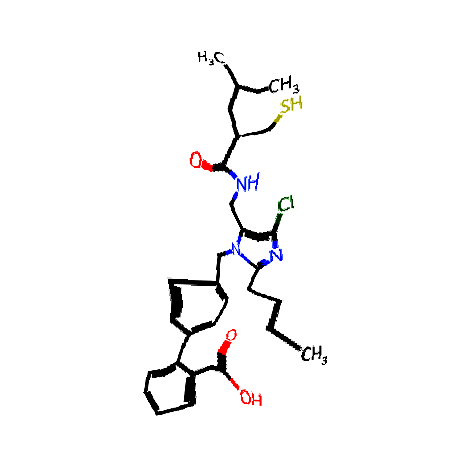 CCCCc1nc(Cl)c(CNC(=O)[C@H](CS)CC(C)C)n1Cc1ccc(-c2ccccc2C(=O)O)cc1